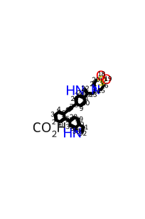 O=C(O)c1cccc(C#Cc2ccc3c(CN4CCS(=O)(=O)CC4)c[nH]c3c2)c1-c1ccc2cc[nH]c2c1